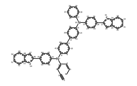 C#C/C=C(\C=C/C)N(c1ccc(-c2ccc(N(c3ccccc3)c3ccc(-c4cc5ccccc5s4)cc3)cc2)cc1)c1ccc(-c2cc3ccccc3s2)cc1